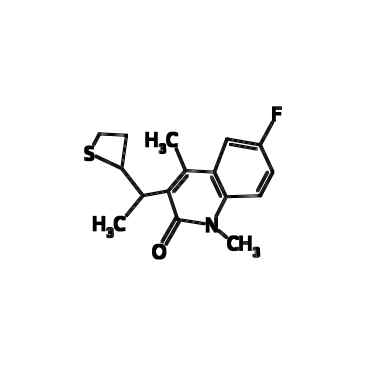 Cc1c(C(C)C2CCS2)c(=O)n(C)c2ccc(F)cc12